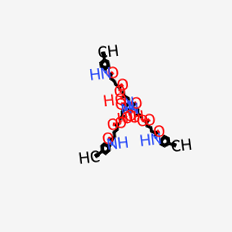 C#Cc1ccc(NC(=O)CCCC(=O)OCC(O)Cn2c(=O)n(CC(O)COC(=O)CCCC(=O)Nc3ccc(C#C)cc3)c(=O)n(CC(O)COC(=O)CCCC(=O)Nc3ccc(C#C)cc3)c2=O)cc1